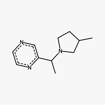 CC1CCN(C(C)c2cnccn2)C1